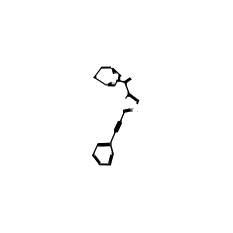 O=C(c1cnc(C#Cc2ccccc2)s1)N1C2CCC1CC2